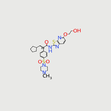 CN1CCN(S(=O)(=O)c2ccc([C@@H](CC3CCCC3)C(=O)Nc3nc4ccc(OCCO)nc4s3)cc2)CC1